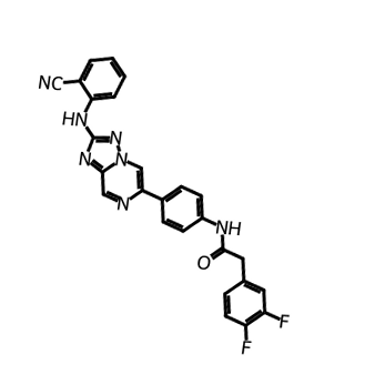 N#Cc1ccccc1Nc1nc2cnc(-c3ccc(NC(=O)Cc4ccc(F)c(F)c4)cc3)cn2n1